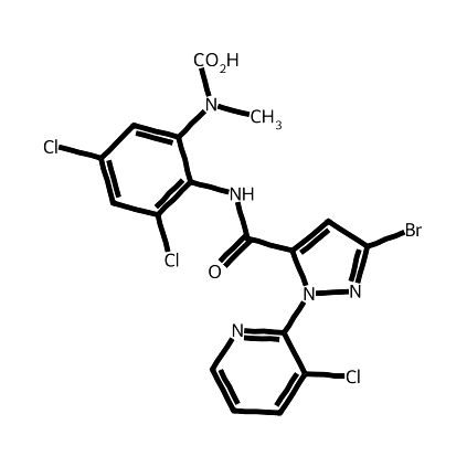 CN(C(=O)O)c1cc(Cl)cc(Cl)c1NC(=O)c1cc(Br)nn1-c1ncccc1Cl